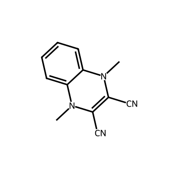 CN1C(C#N)=C(C#N)N(C)c2ccccc21